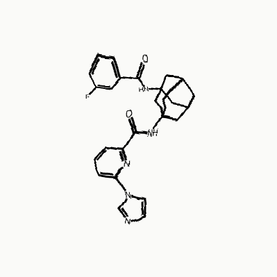 O=C(NC12CC3CC(C1)CC(NC(=O)c1cccc(-n4ccnc4)n1)(C3)C2)c1cccc(F)c1